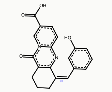 O=C(O)c1ccc2nc3c(c(=O)n2c1)CCC/C3=C/c1cccc(O)c1